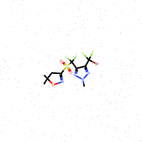 Cn1nc(C(F)(F)Br)c(C(F)(F)S(=O)(=O)C2=NOC(C)(C)C2)n1